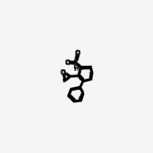 O=[SH](=O)c1cccc(-c2ccccc2)c1C1CO1